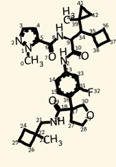 Cn1nccc1C(=O)N[C@H](C(=O)Nc1ccc(C2(C(=O)NCC3(C)CCC3)CCOC2)c(F)c1)C(C1CCC1)C1(C)CC1